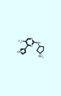 N[C@H]1CC[C@H](Nc2ncc(C(F)(F)F)c(-c3cc[nH]c3)n2)C1